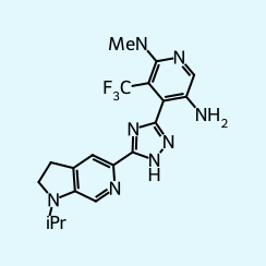 CNc1ncc(N)c(-c2n[nH]c(-c3cc4c(cn3)N(C(C)C)CC4)n2)c1C(F)(F)F